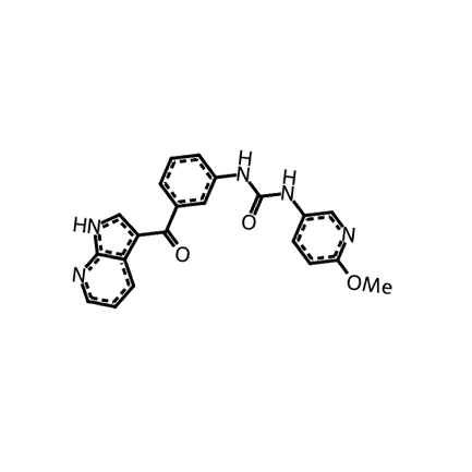 COc1ccc(NC(=O)Nc2cccc(C(=O)c3c[nH]c4ncccc34)c2)cn1